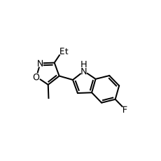 CCc1noc(C)c1-c1cc2cc(F)ccc2[nH]1